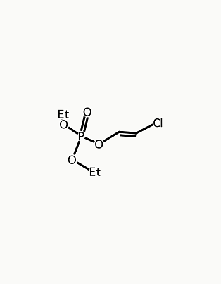 CCOP(=O)(OC=CCl)OCC